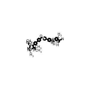 COC(=O)C[C@@H]1N=C(c2ccc(-c3ccc(C(=O)N4CCC(c5ccc(S(=O)(=O)Nc6ccc(C)c7c(C#N)c[nH]c67)cc5)CC4)cc3)cc2)c2c(sc(C)c2C)-n2c(C)nnc21